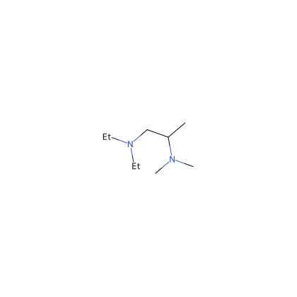 CCN(CC)CC(C)N(C)C